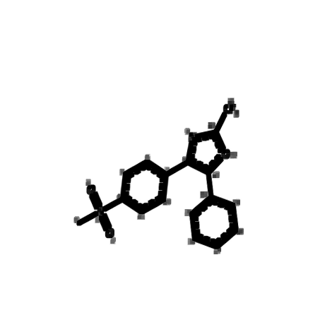 CS(=O)(=O)c1ccc(-c2nc(C(F)(F)F)oc2-c2ccccc2)cc1